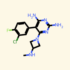 CNC1CN(c2nc(N)nc(N)c2-c2ccc(F)c(Cl)c2)C1